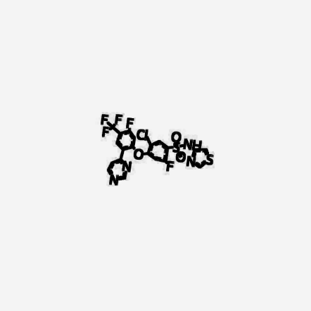 O=S(=O)(Nc1cscn1)c1cc(Cl)c(Oc2cc(F)c(C(F)(F)F)cc2-c2ccncn2)cc1F